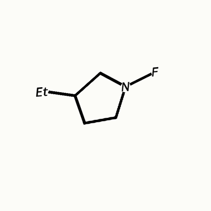 CCC1CCN(F)C1